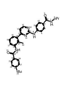 CCCNC(=O)c1ccc(Nc2nccc(-c3cccc(NC(=O)c4ccc(C(C)(C)C)cc4)c3C)n2)cc1